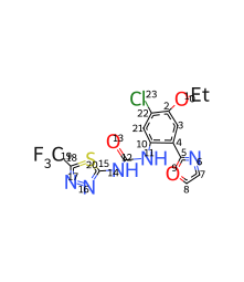 CCOc1cc(-c2ncco2)c(NC(=O)Nc2nnc(C(F)(F)F)s2)cc1Cl